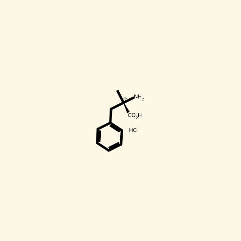 C[C@](N)(Cc1ccccc1)C(=O)O.Cl